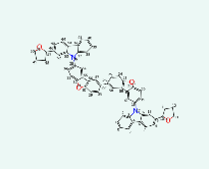 c1ccc2c(c1)c1ccc(C3CCCO3)cc1n2-c1ccc2oc3ccc(-c4ccc5oc6ccc(-n7c8ccccc8c8ccc(C9CCCO9)cc87)cc6c5c4)cc3c2c1